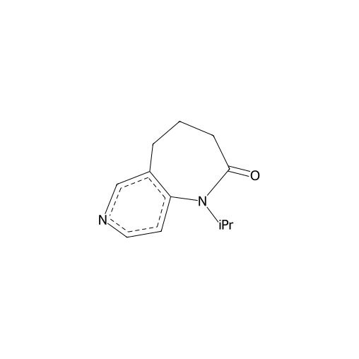 CC(C)N1C(=O)CCCc2cnccc21